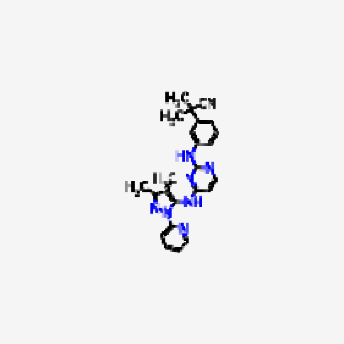 Cc1nn(-c2ccccn2)c(Nc2ccnc(Nc3cccc(C(C)(C)C#N)c3)n2)c1C